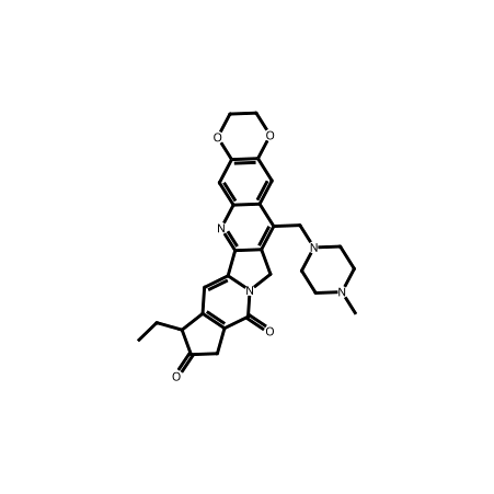 CC[C]1C(=O)Cc2c1cc1n(c2=O)Cc2c-1nc1cc3c(cc1c2CN1CCN(C)CC1)OCCO3